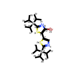 CC(C)[Si](c1ncc(-c2sc([Si](C(C)C)(C(C)C)C(C)C)nc2Br)s1)(C(C)C)C(C)C